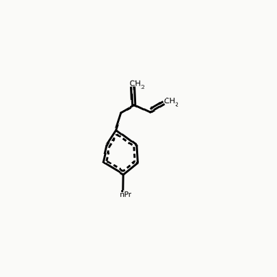 C=CC(=C)Cc1ccc(CCC)cc1